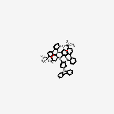 CC(C)(C)c1ccc(-c2ccccc2N2C3=CC=CCC3B3c4ccc(-n5c6ccccc6c6ccccc65)cc4N(c4ccccc4-c4ccc(C(C)(C)C)cc4)c4cccc2c43)cc1